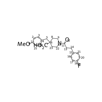 COc1ccc(CC2(C(=O)O)CCN(C(=O)CCc3ccc(F)cc3)CC2)cc1